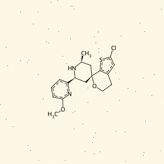 COc1cccc([C@@H]2C[C@]3(C[C@H](C)N2)OCCc2cc(Cl)sc23)n1